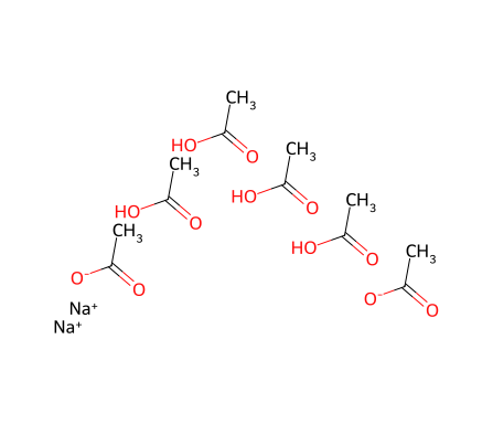 CC(=O)O.CC(=O)O.CC(=O)O.CC(=O)O.CC(=O)[O-].CC(=O)[O-].[Na+].[Na+]